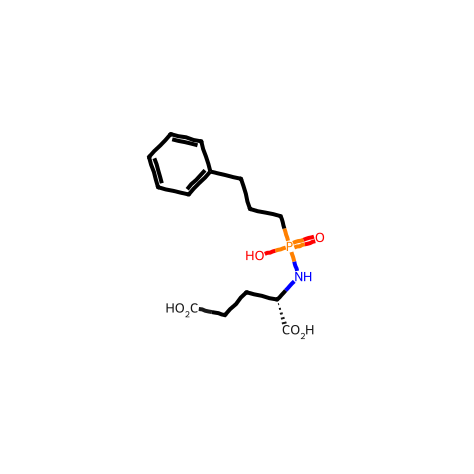 O=C(O)CC[C@H](NP(=O)(O)CCCc1ccccc1)C(=O)O